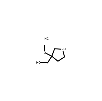 COC1(CO)CCNC1.Cl